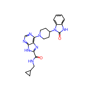 O=C(NCC1CC1)c1nc2c(N3CCC(n4c(=O)[nH]c5ccccc54)CC3)ncnc2[nH]1